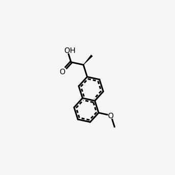 COc1cccc2cc([C@H](C)C(=O)O)ccc12